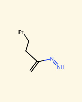 C=C(CCC(C)C)N=N